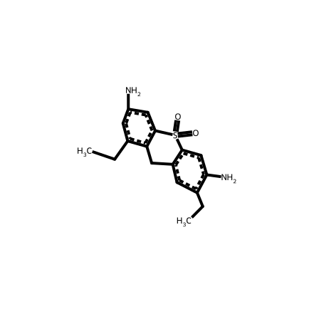 CCc1cc2c(cc1N)S(=O)(=O)c1cc(N)cc(CC)c1C2